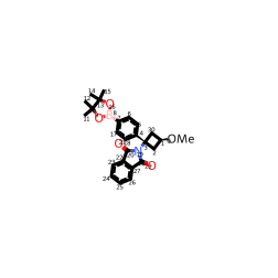 CO[C@H]1C[C@](c2ccc(B3OC(C)(C)C(C)(C)O3)cc2)(N2C(=O)c3ccccc3C2=O)C1